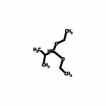 CCO[SiH](OCC)C(C)C